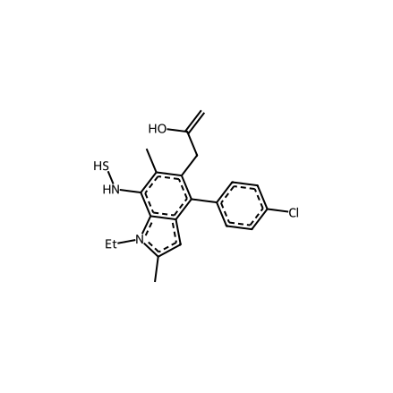 C=C(O)Cc1c(C)c(NS)c2c(cc(C)n2CC)c1-c1ccc(Cl)cc1